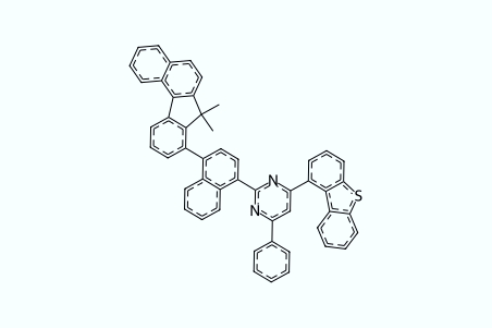 CC1(C)c2ccc3ccccc3c2-c2cccc(-c3ccc(-c4nc(-c5ccccc5)cc(-c5cccc6sc7ccccc7c56)n4)c4ccccc34)c21